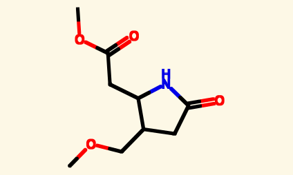 COCC1CC(=O)NC1CC(=O)OC